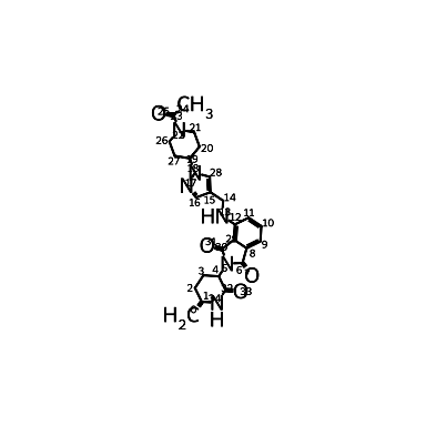 C=C1CCC(N2C(=O)c3cccc(NCc4cnn(C5CCN(C(C)=O)CC5)c4)c3C2=O)C(=O)N1